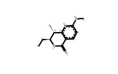 CC[C@@H]1OC(=O)c2ccc(OC)nc2[C@H]1C